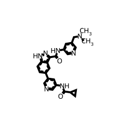 CN(C)Cc1cncc(NC(=O)c2n[nH]c3ccc(-c4cncc(NC(=O)C5CC5)c4)cc23)c1